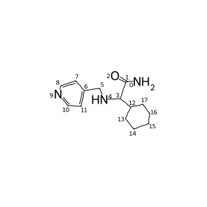 NC(=O)C(NCc1ccncc1)C1CCCCC1